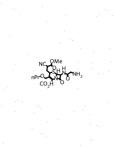 CCCOCC1=C(C(=O)O)N2C(=O)C(NC(=O)CN)[C@@H]2SC1CC(C#N)C(=O)OC